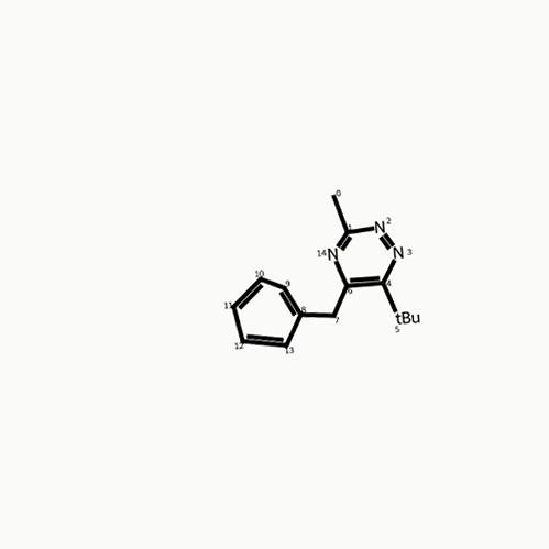 Cc1nnc(C(C)(C)C)c(Cc2ccccc2)n1